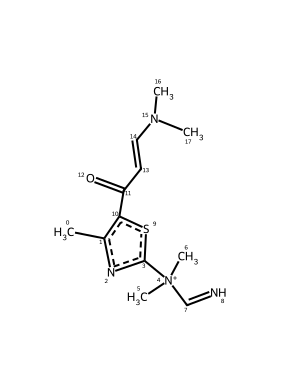 Cc1nc([N+](C)(C)C=N)sc1C(=O)C=CN(C)C